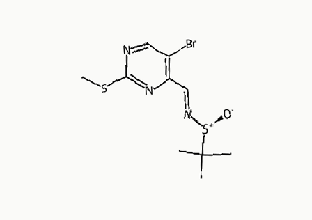 CSc1ncc(Br)c(C=N[S@@+]([O-])C(C)(C)C)n1